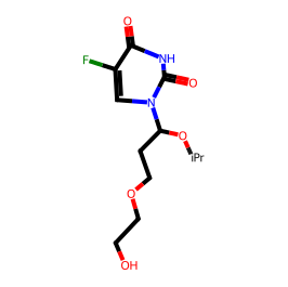 CC(C)OC(CCOCCO)n1cc(F)c(=O)[nH]c1=O